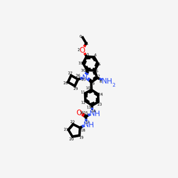 CCOc1ccc2c(N)c(-c3ccc(NC(=O)NC4CCCC4)cc3)n(C3CCC3)c2c1